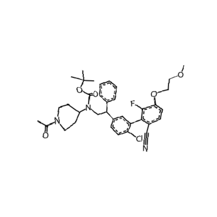 COCCOc1ccc(C#N)c(-c2cc(C(CN(C(=O)OC(C)(C)C)C3CCN(C(C)=O)CC3)c3ccccc3)ccc2Cl)c1F